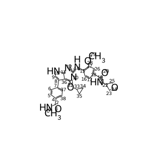 CNC(=O)c1ccc(-c2c[nH]c3nc(Nc4ccc(C(=O)NC5COC5)cc4OC)nc(OC4CC4)c23)cc1